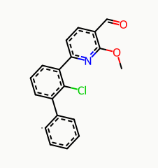 COc1nc(-c2cccc(-c3[c]cccc3)c2Cl)ccc1C=O